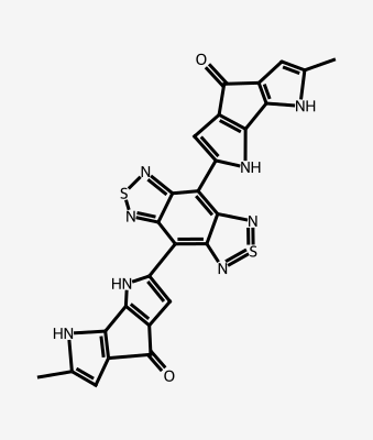 Cc1cc2c([nH]1)-c1[nH]c(-c3c4c(c(-c5cc6c([nH]5)-c5[nH]c(C)cc5C6=O)c5nsnc35)N=S=N4)cc1C2=O